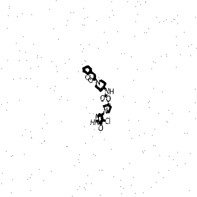 O=C(NC1CCN(C(=O)Cc2ccccc2Cl)CC1)O[C@@H]1CCN(c2cn[nH]c(=O)c2Cl)C1